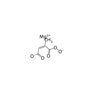 CC(=CC(=O)[O-])C(=O)O[O-].[Mg+2]